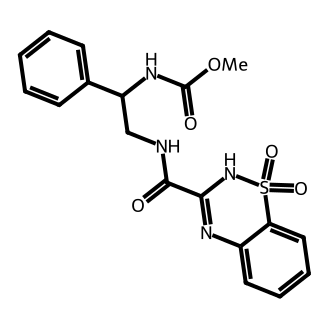 COC(=O)NC(CNC(=O)C1=Nc2ccccc2S(=O)(=O)N1)c1ccccc1